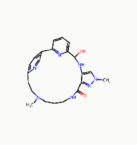 CN1CCCNC(=O)c2nn(C)cc2NC(O)c2cccc(n2)-c2ccc(nc2)CC1